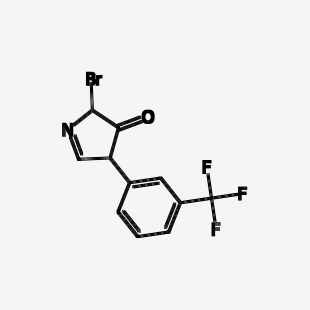 O=C1C(Br)N=CC1c1cccc(C(F)(F)F)c1